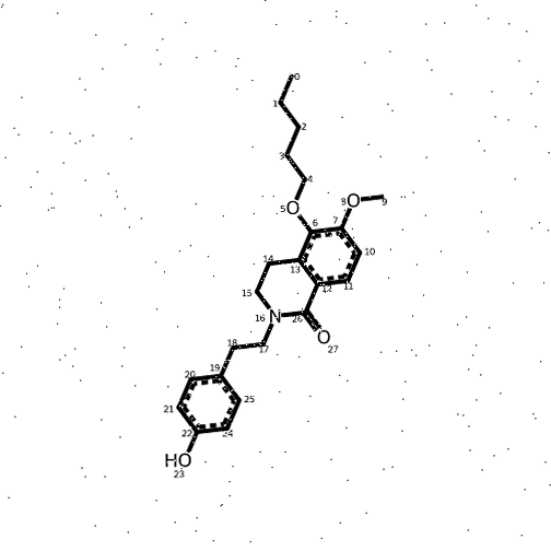 CCCCCOc1c(OC)ccc2c1CCN(CCc1ccc(O)cc1)C2=O